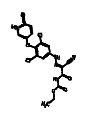 CCOC(=O)NC(=O)/C(C#N)=N/Nc1cc(Cl)c(Oc2ccc(=O)[nH]c2)c(Cl)c1